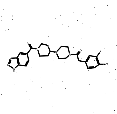 O=C(Cc1ccc(C(F)(F)F)c(F)c1)N1CCN(C2CCN(C(=O)c3ccc4[nH]nnc4c3)CC2)CC1